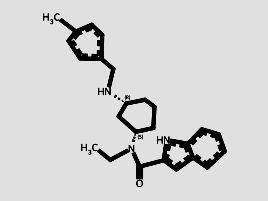 CCN(C(=O)c1cc2ccccc2[nH]1)[C@H]1CCC[C@@H](NCc2ccc(C)cc2)C1